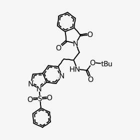 CC(C)(C)OC(=O)NC(Cc1cc2cnn(S(=O)(=O)c3ccccc3)c2cn1)CN1C(=O)c2ccccc2C1=O